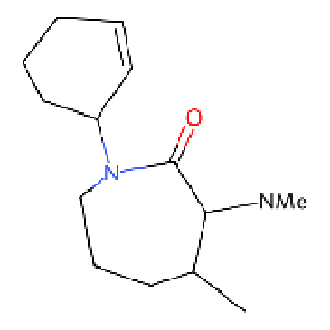 CNC1C(=O)N(C2C=CCCC2)CCCC1C